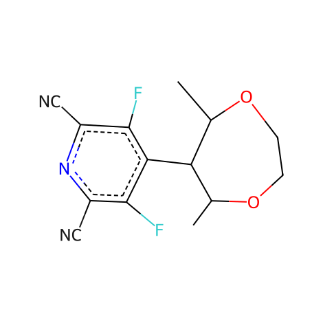 CC1OCCOC(C)C1c1c(F)c(C#N)nc(C#N)c1F